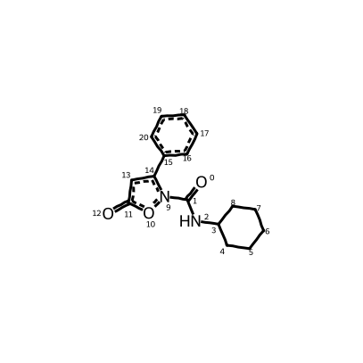 O=C(NC1CCCCC1)n1oc(=O)cc1-c1ccccc1